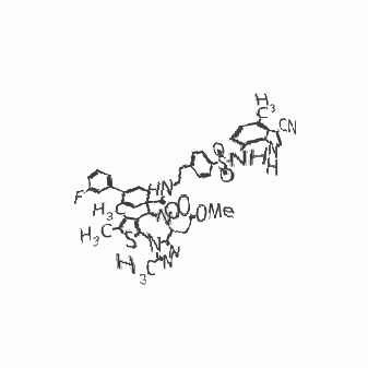 COC(=O)C[C@@H]1N=C(C2(C(=O)NCCc3ccc(S(=O)(=O)Nc4ccc(C)c5c(C#N)c[nH]c45)cc3)C=CC(c3cccc(F)c3)=CC2)c2c(sc(C)c2C)-n2c(C)nnc21